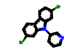 Brc1ccc2c3ccc(Br)cc3n(-c3cccnc3)c2c1